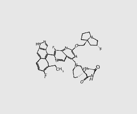 CCc1c(F)ccc2cc3[nH]ncc3c(-c3ncc4c(N5CCC[C@]6(C5)NC(=O)NC6=O)nc(OC[C@@]56CCCN5C[C@H](F)C6)nc4c3F)c12